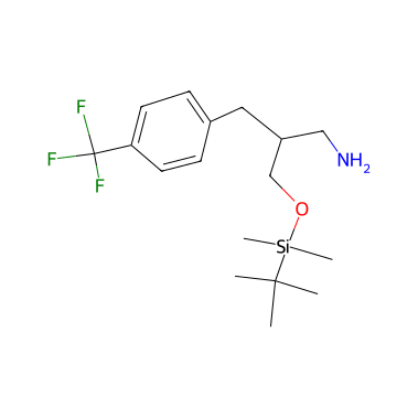 CC(C)(C)[Si](C)(C)OCC(CN)Cc1ccc(C(F)(F)F)cc1